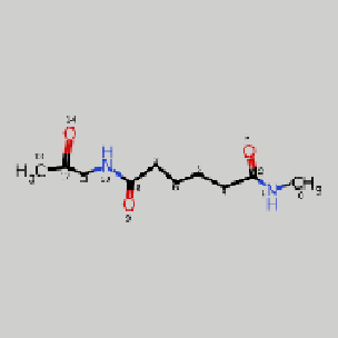 CNC(=O)CCCCC(=O)NCC(C)=O